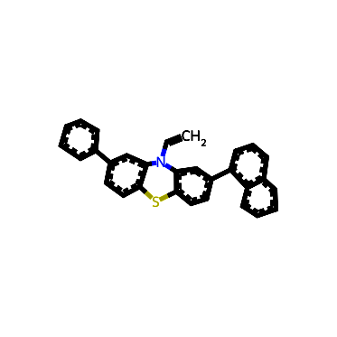 C=CN1c2cc(-c3ccccc3)ccc2Sc2ccc(-c3cccc4ccccc34)cc21